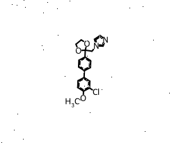 COc1ccc(-c2ccc(C3(Cn4ccnc4)OCCO3)cc2)cc1Cl